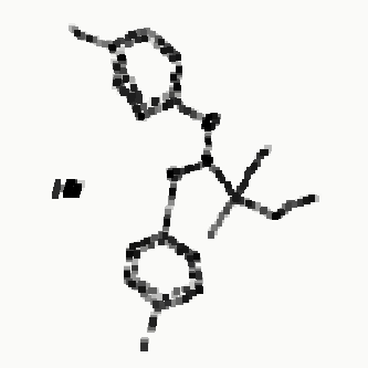 Br.CCC(C)(C)P(Oc1ccc(C)cc1)Oc1ccc(C)cc1